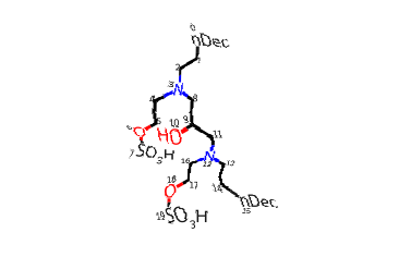 CCCCCCCCCCCCN(CCOS(=O)(=O)O)CC(O)CN(CCCCCCCCCCCC)CCOS(=O)(=O)O